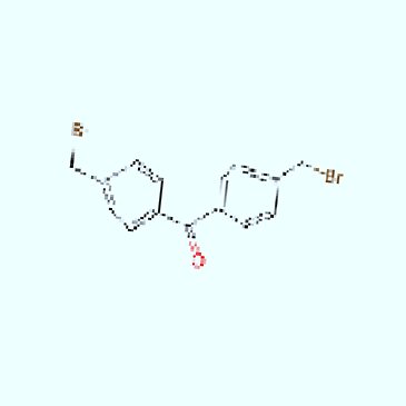 O=C(c1ccc(CBr)cc1)c1ccc(CBr)cc1